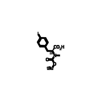 CN(C(=O)OC(C)(C)C)[C@H](Cc1ccc(I)cc1)C(=O)O